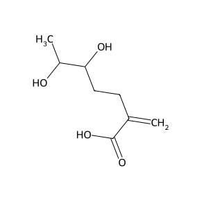 C=C(CCC(O)C(C)O)C(=O)O